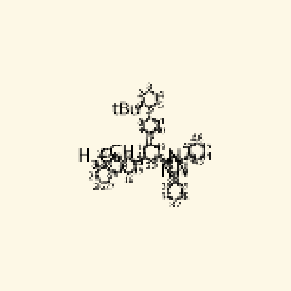 CC(C)(C)c1ccccc1-c1ccc(-c2cc(-c3ccc4c(c3)C(C)(C)c3ccccc3-4)cc(-c3nc(-c4ccccc4)nc(-c4ccccc4)n3)c2)cc1